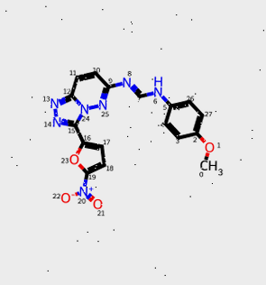 COc1ccc(NC=Nc2ccc3nnc(-c4ccc([N+](=O)[O-])o4)n3n2)cc1